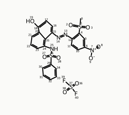 CS(=O)(=O)c1cc([N+](=O)[O-])ccc1N=Nc1ccc(O)c2cccc(NS(=O)(=O)c3ccccc3)c12.O=S(=O)(F)F